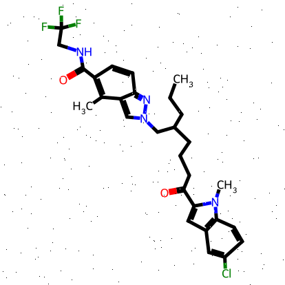 CCCC(CCCC(=O)c1cc2cc(Cl)ccc2n1C)Cn1cc2c(C)c(C(=O)NCC(F)(F)F)ccc2n1